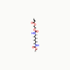 C=CC(=O)OCCOC(=O)NCCCCCCNC(=O)OC